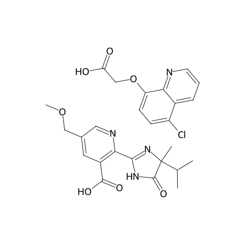 COCc1cnc(C2=NC(C)(C(C)C)C(=O)N2)c(C(=O)O)c1.O=C(O)COc1ccc(Cl)c2cccnc12